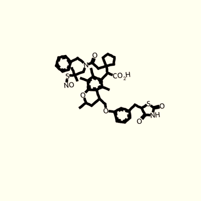 Cc1c(C)c(C(C(=O)O)C2(CC(=O)N(Cc3ccccc3)CC(C)(C)SN=O)CCCC2)c(C)c2c1OC(C)CC2COc1cccc(CC2SC(=O)NC2=O)c1